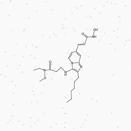 CCCCCCc1nc2cc(C=CC(=O)NO)ccn2c1NCCC(=O)N(CC)OC